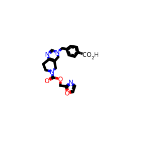 O=C(O)c1ccc(CN2C=NC3=C(C2)CN(C(=O)OCc2ncco2)CC3)cc1